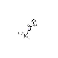 CN(C)C/C=C/C(=O)NC1CCC1